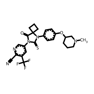 CN1CCCC(Oc2ccc(N3C(=S)N(c4cnc(C#N)c(C(F)(F)F)c4)C(=O)C34CCC4)cc2)C1